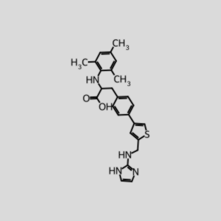 Cc1cc(C)c(NC(Cc2ccc(-c3csc(CNc4ncc[nH]4)c3)cc2)C(=O)O)c(C)c1